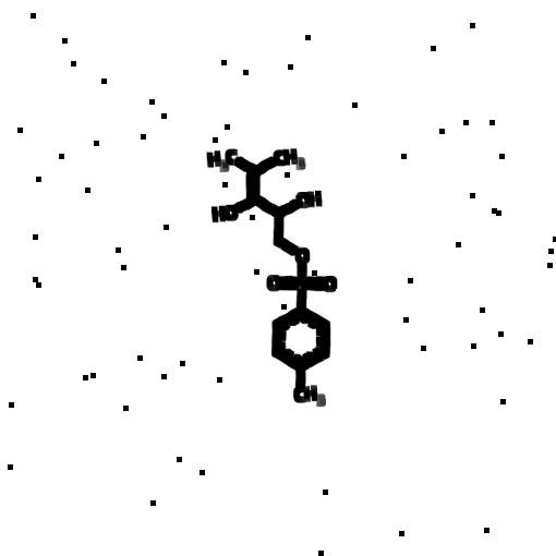 CC(C)=C(O)C(O)COS(=O)(=O)c1ccc(C)cc1